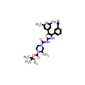 Cc1cc(C2=C(c3cccc(C#N)c3)NC(NC(=O)N3CCN(C(=O)OC(C)(C)C)C(C)C3)S2)cc(C)n1